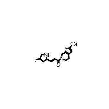 N#Cc1cc2c(s1)CN(C(=O)/C=C/C1CC(F)CN1)CC2